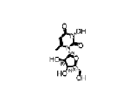 Cc1cc(=O)n(O)c(=O)n1[C@@H]1O[C@H](CO)[C@@H](O)[C@H]1O